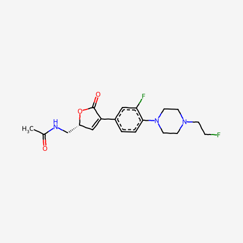 CC(=O)NC[C@H]1C=C(c2ccc(N3CCN(CCF)CC3)c(F)c2)C(=O)O1